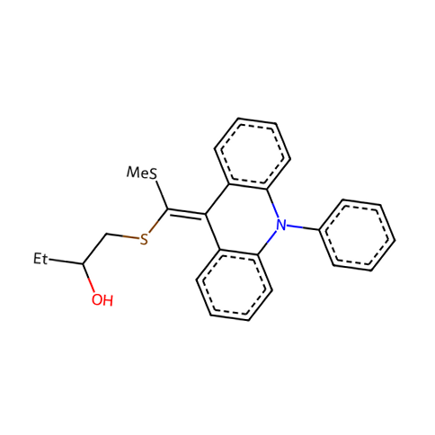 CCC(O)CSC(SC)=C1c2ccccc2N(c2ccccc2)c2ccccc21